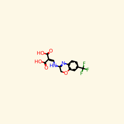 O=C(O)C(=CNC1=Nc2ccc(C(F)(F)F)cc2OC1)C(=O)O